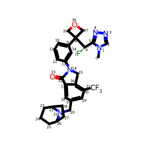 Cn1cnnc1[C@H](F)C1(c2cccc(N3Cc4c(cc(CN5C6CCCC5CC6)cc4C(F)(F)F)C3=O)c2)COC1